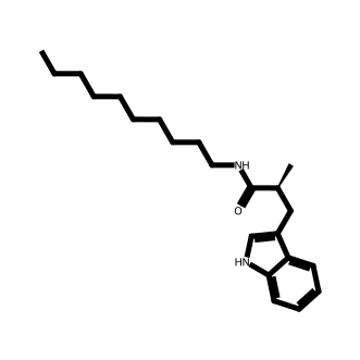 CCCCCCCCCCNC(=O)[C@@H](C)Cc1c[nH]c2ccccc12